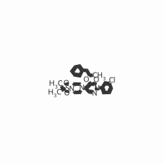 CC(Cc1ccccc1)Oc1c(N2CCN(S(=O)(=O)C(C)C)CC2)cnn(-c2cccc(Cl)c2)c1=O